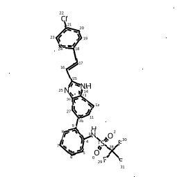 O=S(=O)(Nc1ccccc1-c1ccc2[nH]c(/C=C/c3ccc(Cl)cc3)nc2c1)C(F)(F)F